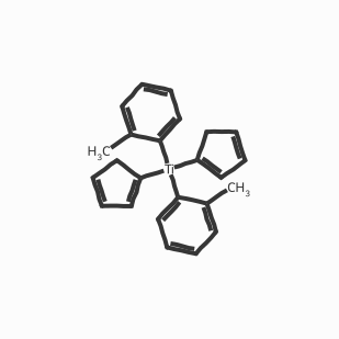 Cc1cccc[c]1[Ti]([C]1=CC=CC1)([C]1=CC=CC1)[c]1ccccc1C